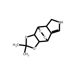 CC1(C)OC2C3CCC(C4CNC=C43)C2O1